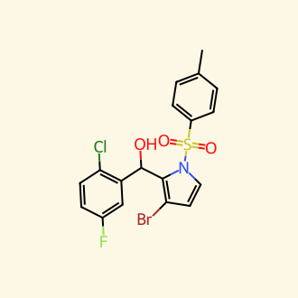 Cc1ccc(S(=O)(=O)n2ccc(Br)c2C(O)c2cc(F)ccc2Cl)cc1